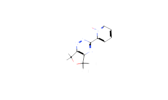 CC1(C)OC(C)(C)c2nc(-c3cccc[n+]3[O-])nnc21